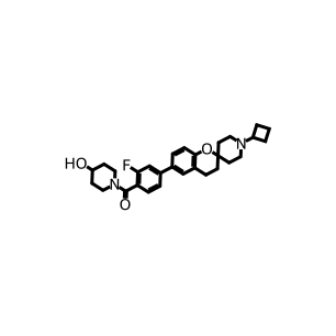 O=C(c1ccc(-c2ccc3c(c2)CCC2(CCN(C4CCC4)CC2)O3)cc1F)N1CCC(O)CC1